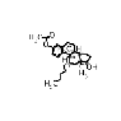 CCCCC[C@H]1C[C@@]2(C)[C@@H](CC[C@@H]2O)[C@]2(C)CCc3cc(OC(C)=O)ccc3[C@@H]12